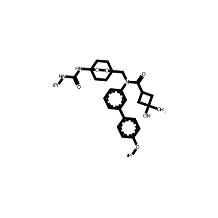 CC(C)NC(=O)NC12CCC(CN(C(=O)C3CC(C)(O)C3)c3cccc(-c4ccc(OC(C)C)cc4)c3)(CC1)CC2